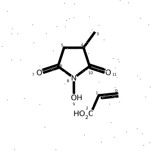 C=CC(=O)O.CC1CC(=O)N(O)C1=O